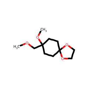 COCC1(OC)CCC2(CC1)OCCO2